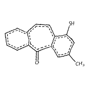 Cc1cc(S)c2ccc3ccccc3c(=O)c2c1